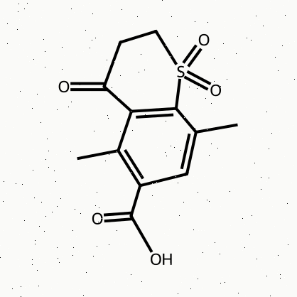 Cc1cc(C(=O)O)c(C)c2c1S(=O)(=O)CCC2=O